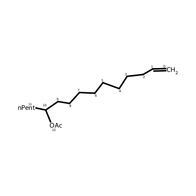 C=CCCCCCCCCC(CCCCC)OC(C)=O